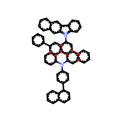 c1ccc(-c2ccc(-c3ccccc3N(c3ccc(-c4cccc5ccccc45)cc3)c3ccccc3-c3cc(-c4ccccc4)cc(-n4c5ccccc5c5cc6ccccc6cc54)c3)cc2)cc1